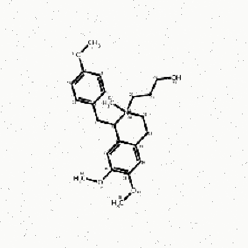 COc1ccc(CC2c3cc(OC)c(OC)cc3CC[N+]2(C)CCCO)cc1